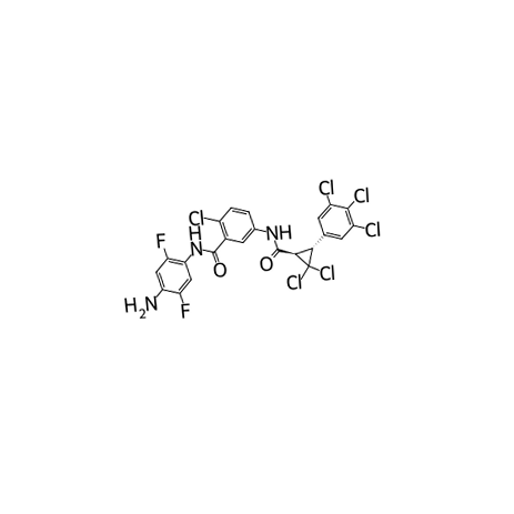 Nc1cc(F)c(NC(=O)c2cc(NC(=O)[C@H]3[C@H](c4cc(Cl)c(Cl)c(Cl)c4)C3(Cl)Cl)ccc2Cl)cc1F